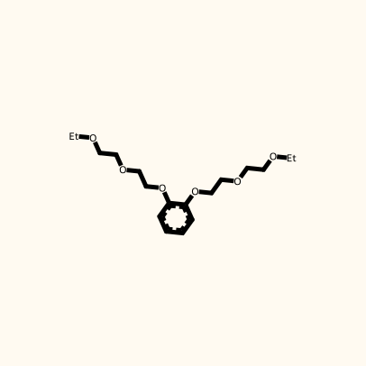 CCOCCOCCOc1ccccc1OCCOCCOCC